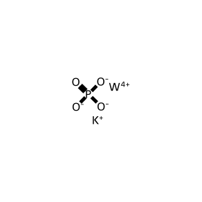 O=P([O-])([O-])[O-].[K+].[W+4]